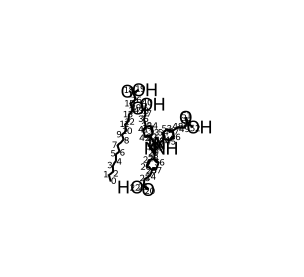 CCCCCCCCCCCCCCCCCC(=O)O.O=C(O)CCc1ccc(C2=NN(c3ccc(CCC(=O)O)cc3)N(c3ccc(CCC(=O)O)cc3)N2)cc1